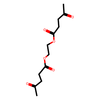 CC(=O)CCC(=O)OCCOC(=O)CCC(C)=O